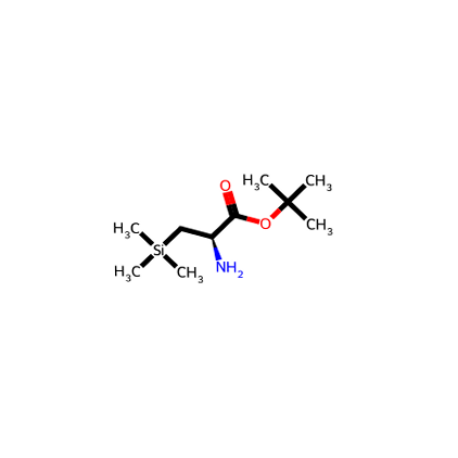 CC(C)(C)OC(=O)[C@@H](N)C[Si](C)(C)C